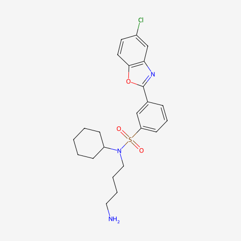 NCCCCN(C1CCCCC1)S(=O)(=O)c1cccc(-c2nc3cc(Cl)ccc3o2)c1